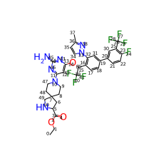 CCOC(=O)C1CC2(CCN(c3cc(O[C@H](c4ccc(-c5ccc(F)c(C(F)(F)F)c5)cc4-n4ccc(C)n4)C(F)(F)F)nc(N)n3)CC2)CN1